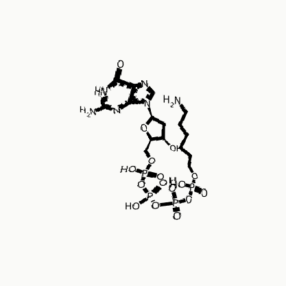 NCCCCCCOP(=O)(O)OP(=O)(O)OP(=O)(O)OP(=O)(O)OC[C@H]1O[C@@H](n2cnc3c(=O)[nH]c(N)nc32)C[C@H]1O